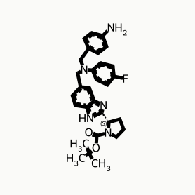 CC(C)(C)OC(=O)N1CCC[C@H]1c1nc2cc(CN(Cc3ccc(N)cc3)c3ccc(F)cc3)ccc2[nH]1